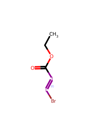 CCOC(=O)/I=I/Br